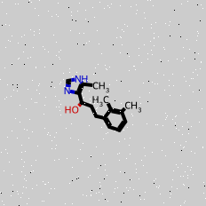 Cc1cccc(CCC(O)c2nc[nH]c2C)c1C